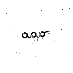 O=Cc1ccc(N[C@H]2CCCN(CC3CCCCC3)C2)nc1